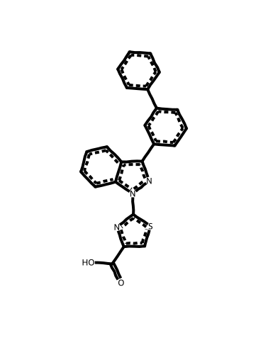 O=C(O)c1csc(-n2nc(-c3cccc(-c4ccccc4)c3)c3ccccc32)n1